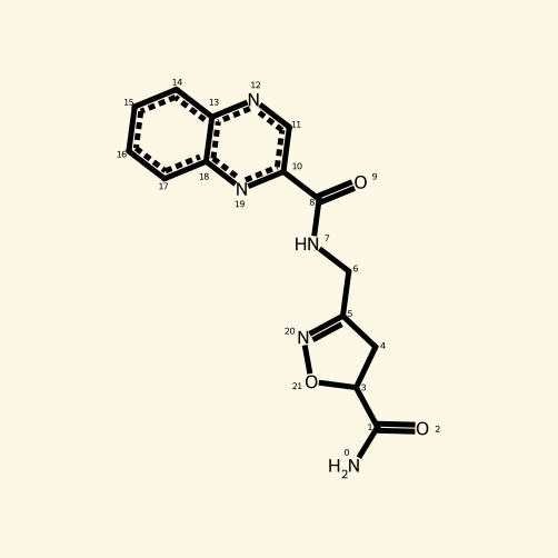 NC(=O)C1CC(CNC(=O)c2cnc3ccccc3n2)=NO1